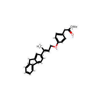 COC(=O)Cc1ccc(OC/C=C(\C)c2ccc3c(c2)Cc2ccccc2-3)cc1